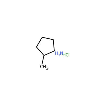 CC1CCCC1.Cl.N